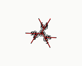 CCCCCCCCCCSSCCOC(=O)CCN(CCCCOC(=O)c1cc(C(=O)OCCCCN(CCC(=O)OCCSSCCCCCCCCCC)CCC(=O)OCCSSCCCCCCCCCC)cc(C(=O)OCCCCN(CCC(=O)OCCSSCCCCCCCCCC)CCC(=O)OCCSSCCCCCCCCCC)c1)CCC(=O)OCCSSCCCCCCCCCC